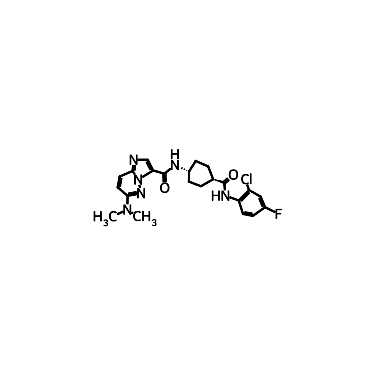 CN(C)c1ccc2ncc(C(=O)N[C@H]3CC[C@H](C(=O)Nc4ccc(F)cc4Cl)CC3)n2n1